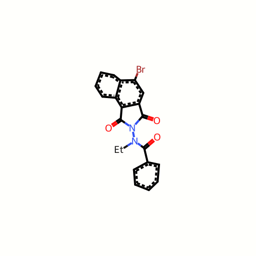 CCN(C(=O)c1ccccc1)N1C(=O)c2cc(Br)c3ccccc3c2C1=O